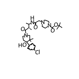 CC(NC(=O)CN1CCN(C(=O)OC(C)(C)C)CC1)[C@@H](C)C(=O)N1CC[C@](O)(c2ccc(Cl)cc2)C(C)(C)C1